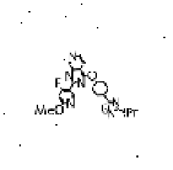 COc1cc(F)c(-c2nc(OC3CCC(c4nc(C(C)C)no4)CC3)c3ccncc3n2)cn1